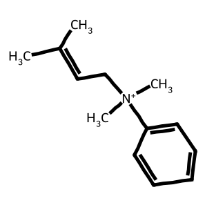 CC(C)=CC[N+](C)(C)c1ccccc1